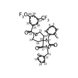 Cc1ccccc1N1C(=O)N(Cc2cccs2)C(=O)C12CCN(C(=O)c1cc(C(F)(F)F)cc(C(F)(F)F)c1)CC2